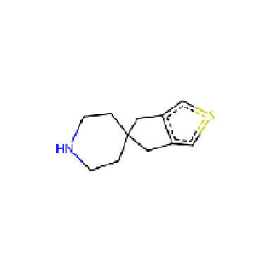 c1scc2c1CC1(CCNCC1)C2